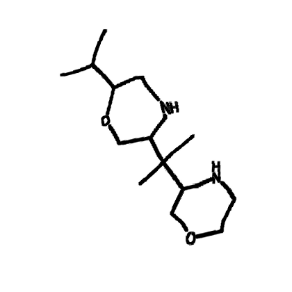 CC(C)C1CNC(C(C)(C)C2COCCN2)CO1